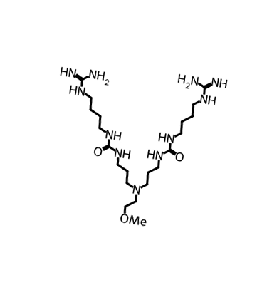 COCCN(CCCNC(=O)NCCCCNC(=N)N)CCCNC(=O)NCCCCNC(=N)N